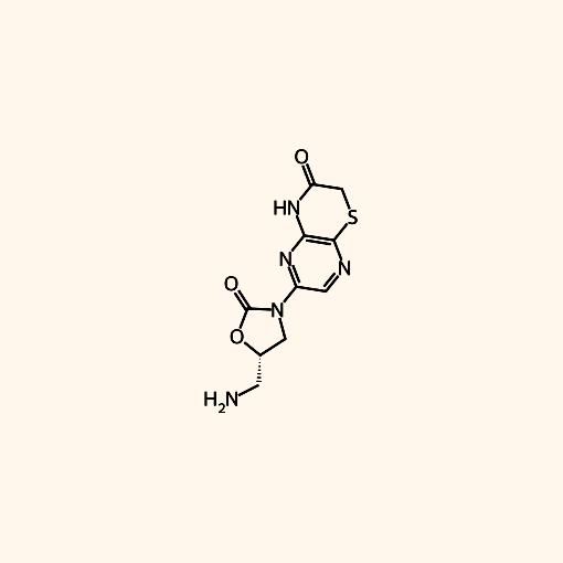 NC[C@H]1CN(c2cnc3c(n2)NC(=O)CS3)C(=O)O1